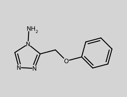 Nn1cnnc1COc1ccccc1